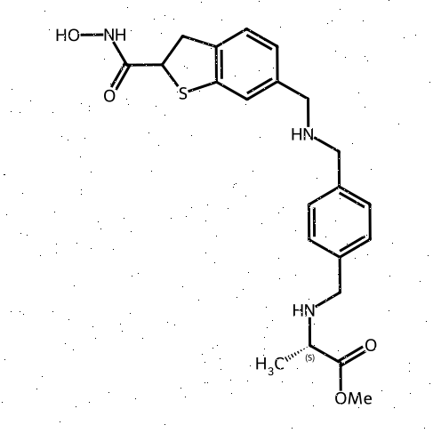 COC(=O)[C@H](C)NCc1ccc(CNCc2ccc3c(c2)SC(C(=O)NO)C3)cc1